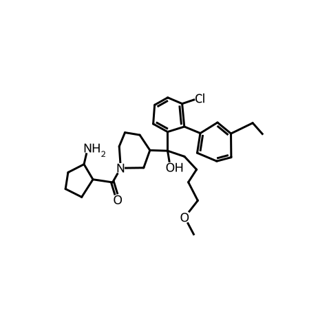 CCc1cccc(-c2c(Cl)cccc2C(O)(CCCCOC)C2CCCN(C(=O)C3CCCC3N)C2)c1